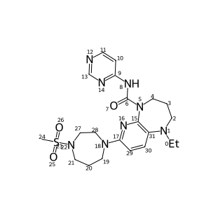 CCN1CCCN(C(=O)Nc2ccncn2)c2nc(N3CCCN(S(C)(=O)=O)CC3)ccc21